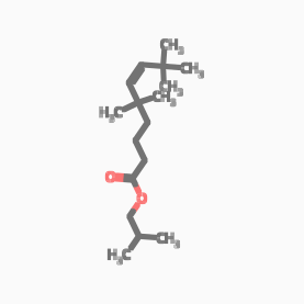 CC(C)COC(=O)CCCC(C)(C)/C=C\C(C)(C)C